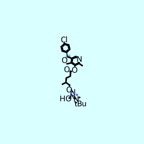 Cc1ncc2c(c1OC(=O)CCC(C)CO/N=[N+](\O)N(C)C(C)(C)C)CO[C@H]2c1ccc(Cl)cc1